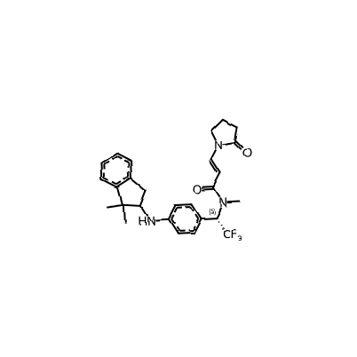 CN(C(=O)C=CN1CCCC1=O)[C@@H](c1ccc(NC2Cc3ccccc3C2(C)C)cc1)C(F)(F)F